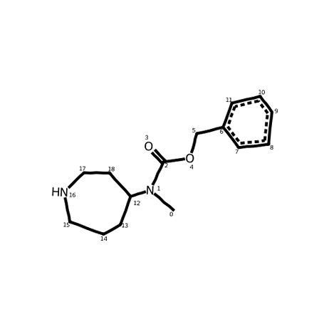 CN(C(=O)OCc1ccccc1)C1CCCNCC1